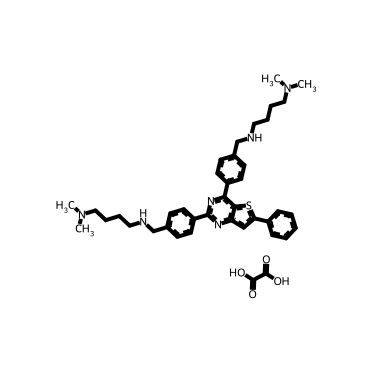 CN(C)CCCCNCc1ccc(-c2nc(-c3ccc(CNCCCCN(C)C)cc3)c3sc(-c4ccccc4)cc3n2)cc1.O=C(O)C(=O)O